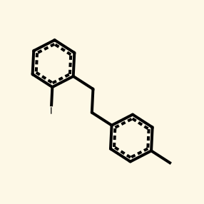 Cc1ccc(CCc2ccccc2I)cc1